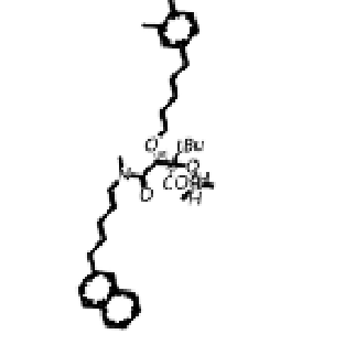 Cc1ccc(CCCCCO[C@@H](C(=O)N(C)CCCCCc2ccc3ccccc3c2)[C@@](O[SiH](C)C)(C(=O)O)C(C)(C)C)cc1C